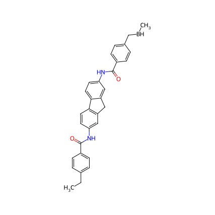 CBCc1ccc(C(=O)Nc2ccc3c(c2)Cc2cc(NC(=O)c4ccc(CC)cc4)ccc2-3)cc1